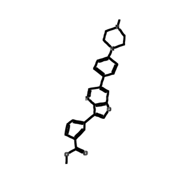 COC(=O)c1cccc(-c2coc3cc(-c4ccc(N5CCN(C)CC5)cc4)cnc23)c1